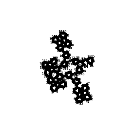 c1ccc2c(c1)-c1ccccc1C21c2ccccc2-c2ccc(-c3ccc4c(c3)c3cc(-c5ccc6c(c5)C5(c7ccccc7-c7ccccc75)c5ccccc5-6)ccc3n4-c3ccc(-c4nc5ccccc5nc4-c4ccc(-n5c6ccc(-c7ccc8c(c7)C7(c9ccccc9-c9ccccc97)c7ccccc7-8)cc6c6cc(-c7ccc8c(c7)C7(c9ccccc9-c9ccccc97)c7ccccc7-8)ccc65)cc4)cc3)cc21